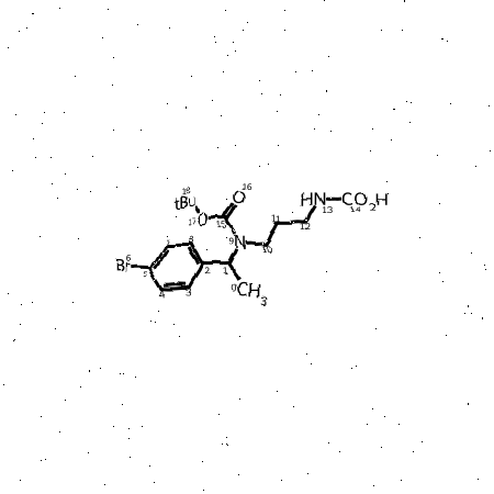 CC(c1ccc(Br)cc1)N(CCCNC(=O)O)C(=O)OC(C)(C)C